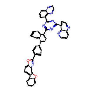 c1cc(-c2nc(-c3ccc(-c4ccc(-c5nc6c(ccc7c8ccccc8oc76)o5)cc4)c4ccccc34)nc(-c3ccnc4cccnc34)n2)c2nccnc2c1